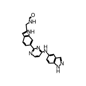 O=CNCc1cc2ccc(-c3nccc(Nc4ccc5[nH]ncc5c4)n3)cc2[nH]1